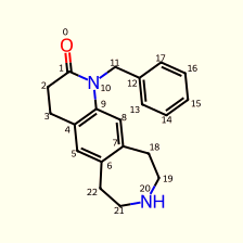 O=C1CCc2cc3c(cc2N1Cc1ccccc1)CCNCC3